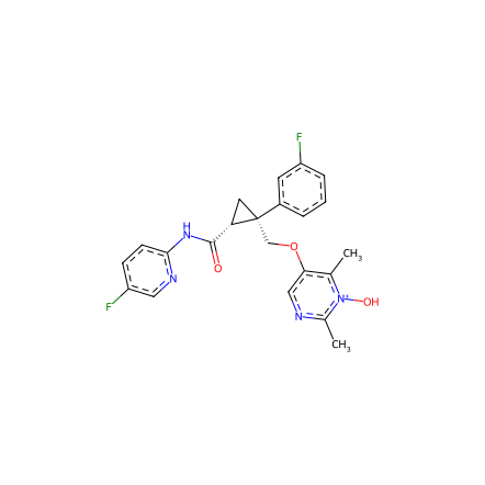 Cc1ncc(OC[C@@]2(c3cccc(F)c3)C[C@H]2C(=O)Nc2ccc(F)cn2)c(C)[n+]1O